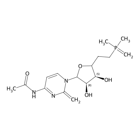 C=C1N=C(NC(C)=O)C=CN1C1OC(CCP(=C)(C)C)[C@@H](O)[C@H]1O